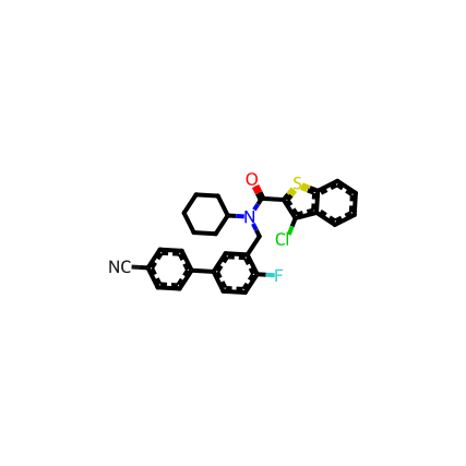 N#Cc1ccc(-c2ccc(F)c(CN(C(=O)c3sc4ccccc4c3Cl)C3CCCCC3)c2)cc1